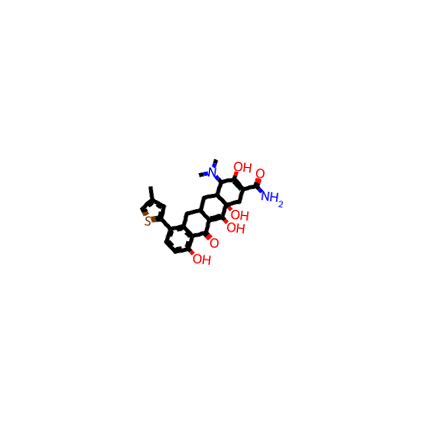 Cc1csc(-c2ccc(O)c3c2CC2CC4C(N(C)C)C(O)=C(C(N)=O)CC4(O)C(O)=C2C3=O)c1